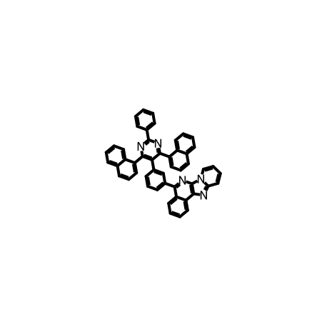 c1ccc(-c2nc(-c3cccc4ccccc34)c(-c3cccc(-c4nc5c(nc6ccccn65)c5ccccc45)c3)c(-c3cccc4ccccc34)n2)cc1